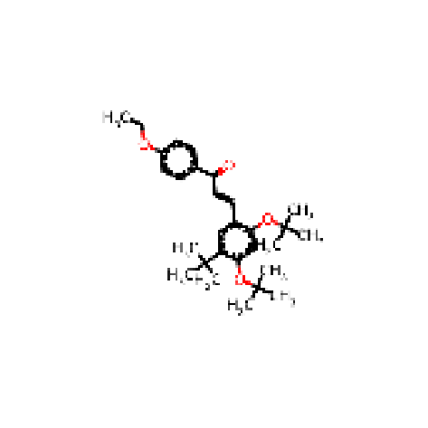 CCOc1ccc(C(=O)C=Cc2cc(C(C)(C)C)c(OC(C)(C)C)cc2OC(C)(C)C)cc1